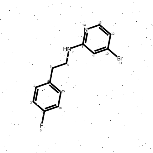 Fc1ccc(CCNc2cc(Br)ccn2)cc1